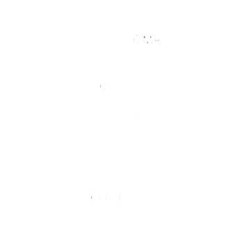 COCCCCOc1cc2ccc(-c3ccc(C(=O)O)cc3)cc2cc1C12CC3CC(CC(C3)C1)C2